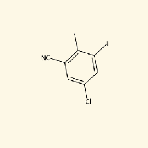 Cc1c(I)cc(Cl)cc1C#N